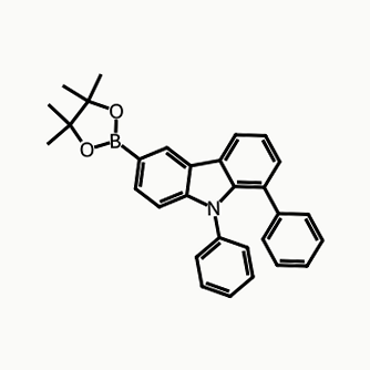 CC1(C)OB(c2ccc3c(c2)c2cccc(-c4ccccc4)c2n3-c2ccccc2)OC1(C)C